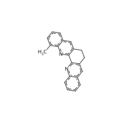 Cc1cccc2cc3c(nc12)-c1nc2ccccc2cc1CC3